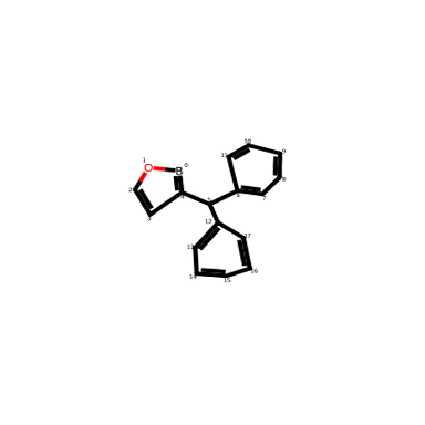 b1occc1C(c1ccccc1)c1ccccc1